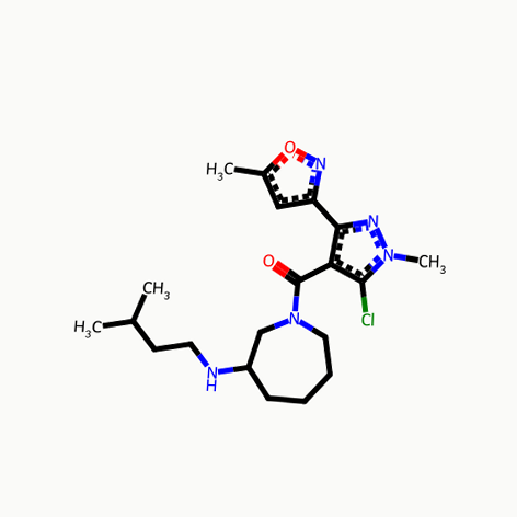 Cc1cc(-c2nn(C)c(Cl)c2C(=O)N2CCCCC(NCCC(C)C)C2)no1